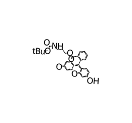 CC(C)(C)OC(=O)NCCCOC(=O)c1ccccc1-c1c2ccc(=O)cc-2oc2cc(O)ccc12